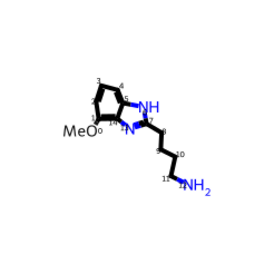 COc1cccc2[nH]c(CCCCN)nc12